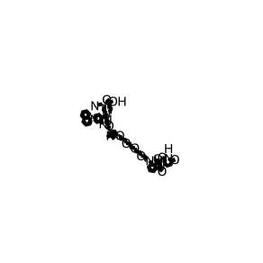 CN1C[C@H](OCCOCCOCCOCCNc2cccc3c2C(=O)N(C2CCC(=O)NC2=O)C3=O)C[C@H]1COc1nc2c(c(N3CCN(C(=O)O)[C@@H](CC#N)C3)n1)CCN(c1cccc3ccccc13)C2